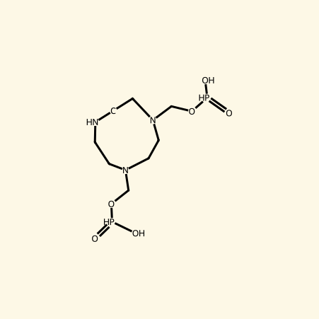 O=[PH](O)OCN1CCNCCN(CO[PH](=O)O)CC1